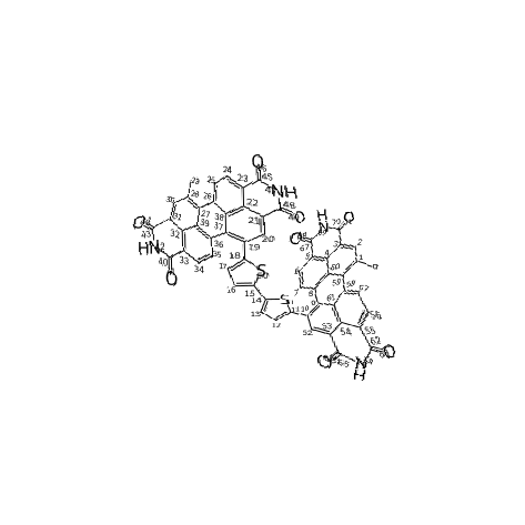 Cc1cc2c3c(ccc4c5c(-c6ccc(-c7ccc(-c8cc9c%10c(ccc%11c%12c(C)cc%13c%14c(ccc(c8c%10%11)c%14%12)C(=O)NC%13=O)C(=O)NC9=O)s7)s6)cc6c7c(ccc(c1c34)c75)C(=O)NC6=O)C(=O)NC2=O